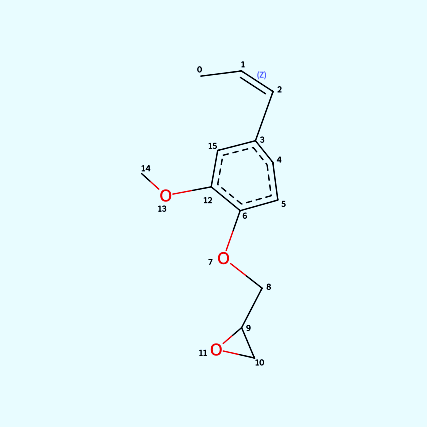 C/C=C\c1ccc(OCC2CO2)c(OC)c1